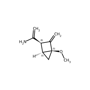 C=C(N)[C@H]1C(=C)[C@]2(OC)C[C@@H]12